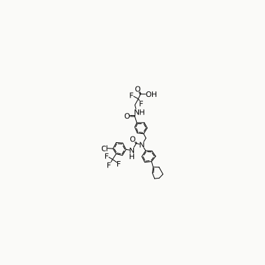 O=C(NCC(F)(F)C(=O)O)c1ccc(CN(C(=O)Nc2ccc(Cl)c(C(F)(F)F)c2)c2ccc(C3=CCCCC3)cc2)cc1